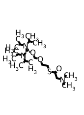 CC(C)N(C(C)C)P(OCOCCSC(=O)CN(C)C)N(C(C)C)C(C)C